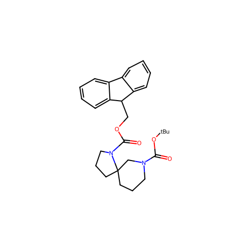 CC(C)(C)OC(=O)N1CCCC2(CCCN2C(=O)OCC2c3ccccc3-c3ccccc32)C1